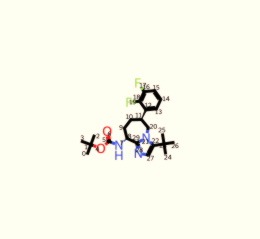 CC(C)(C)OC(=O)N[C@@H]1CC[C@@H](c2cccc(F)c2F)Cn2c(C(C)(C)C)cnc21